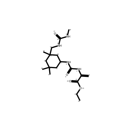 C=C(NC(=O)NC1CC(C)(C)CC(C)(CNC(=O)NC)C1)C(=O)OCC